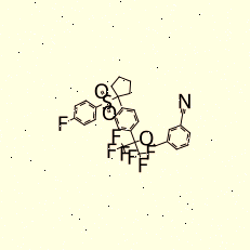 N#Cc1cccc(COC(c2ccc(C3(S(=O)(=O)c4ccc(F)cc4)CCCC3)cc2)(C(F)(F)F)C(F)(F)F)c1